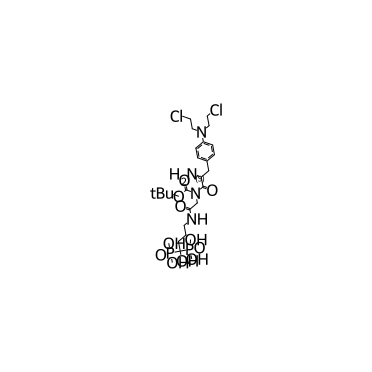 CC(C)(C)OC(=O)N(CC(=O)NCCCC(O)(P(=O)(O)O)P(=O)(O)O)C(=O)[C@@H](N)Cc1ccc(N(CCCl)CCCl)cc1